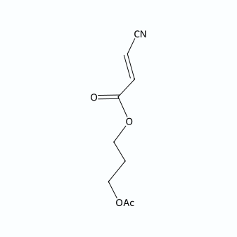 CC(=O)OCCCOC(=O)C=CC#N